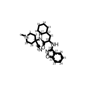 CN1CCC(C#N)(NC(=O)C(CC2CCCCC2)Nc2noc3ccccc23)CC1